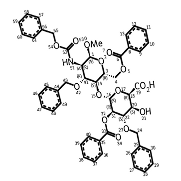 CO[C@H]1O[C@H](COC(=O)c2ccccc2)[C@@H](O[C@@H]2O[C@@H](C(=O)O)[C@@H](O)[C@H](OCc3ccccc3)[C@H]2OC(=O)c2ccccc2)[C@H](OCc2ccccc2)[C@H]1NC(=O)OCc1ccccc1